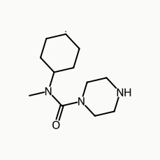 CN(C(=O)N1CCNCC1)C1CC[CH]CC1